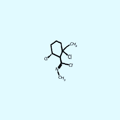 C/N=C(\Cl)C1[C@@H](Cl)CCCC1(C)Cl